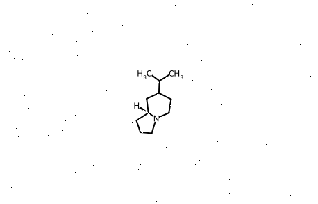 CC(C)C1CCN2CCC[C@@H]2C1